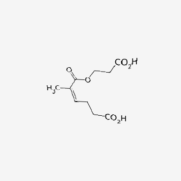 CC(=CCCC(=O)O)C(=O)OCCC(=O)O